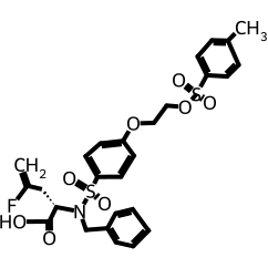 C=C(F)C[C@@H](C(=O)O)N(Cc1ccccc1)S(=O)(=O)c1ccc(OCCOS(=O)(=O)c2ccc(C)cc2)cc1